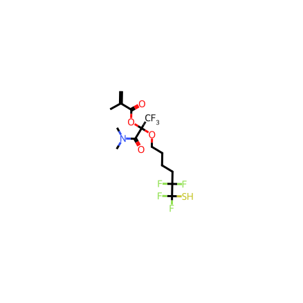 C=C(C)C(=O)OC(OCCCCC(F)(F)C(F)(F)S)(C(=O)N(C)C)C(F)(F)F